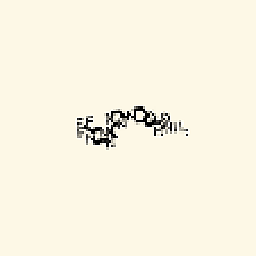 NS(=O)(=O)c1cc2c(s1)CCN(c1ccnc(-c3cnc4cnc(C(F)(F)F)cn34)n1)C2